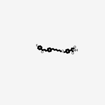 O=C1C=C(c2ccc(COCCCCCCc3ccc(C=CC(=O)c4ccc(F)cc4)cc3)cc2)C(=O)N1